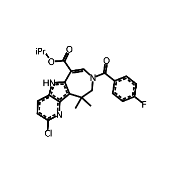 CC(C)OC(=O)C1=CN(C(=O)c2ccc(F)cc2)CC(C)(C)c2c1[nH]c1ccc(Cl)nc21